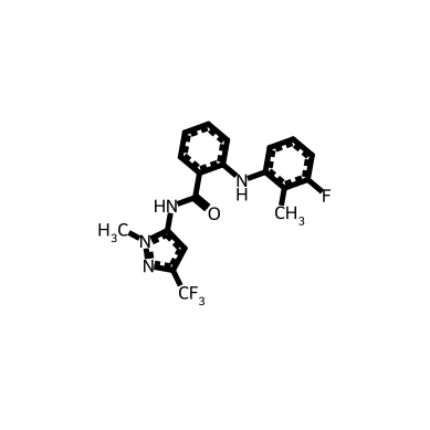 Cc1c(F)cccc1Nc1ccccc1C(=O)Nc1cc(C(F)(F)F)nn1C